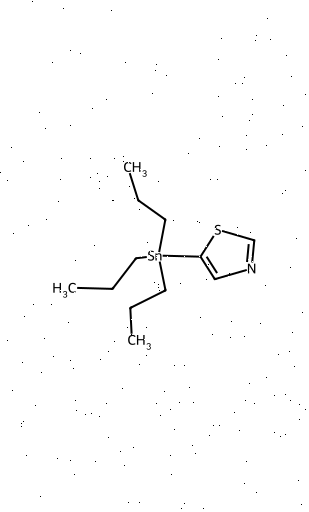 CC[CH2][Sn]([CH2]CC)([CH2]CC)[c]1cncs1